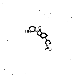 CC(=O)N1CCC(c2ccc3c(c2)CN(C2CCCNC2)C3=O)C1